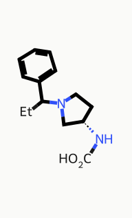 CCC(c1ccccc1)N1CC[C@H](NC(=O)O)C1